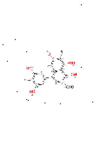 Cc1c(O)cc(-c2cc(C=O)c(O)c3c(O)c(C)c(O)cc23)cc1O